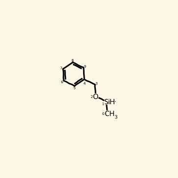 C[SiH]OCc1ccccc1